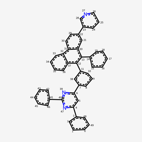 c1ccc(-c2cc(-c3cccc(-c4c(-c5ccccc5)c5cc(-c6cccnc6)ccc5c5ccccc45)c3)nc(-c3ccccc3)n2)cc1